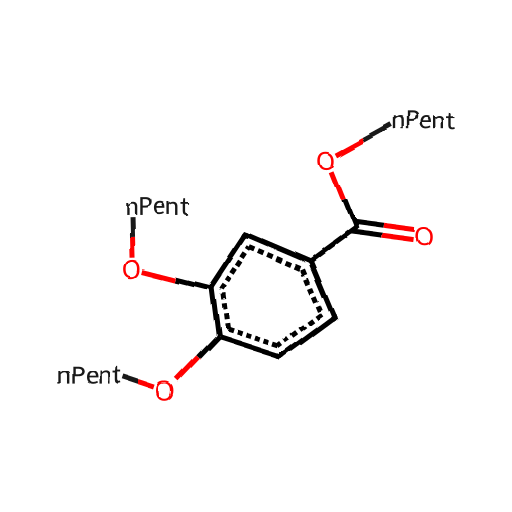 CCCCCOC(=O)c1ccc(OCCCCC)c(OCCCCC)c1